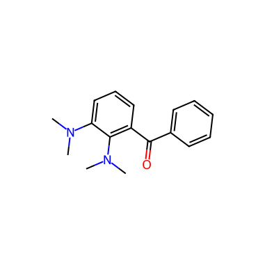 CN(C)c1cccc(C(=O)c2ccccc2)c1N(C)C